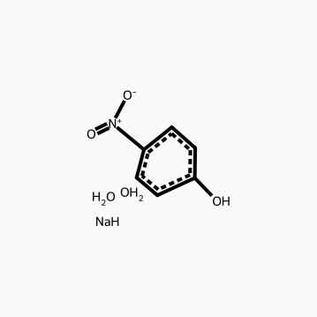 O.O.O=[N+]([O-])c1ccc(O)cc1.[NaH]